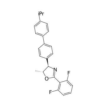 CC(C)c1ccc(-c2ccc([C@H]3N=C(c4c(F)cccc4F)O[C@@H]3C)cc2)cc1